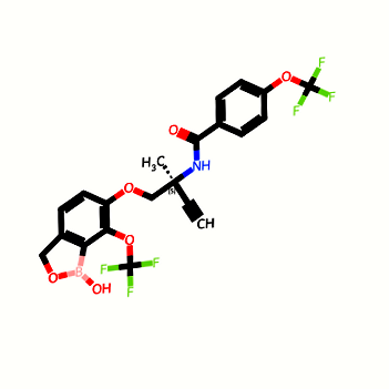 C#C[C@@](C)(COc1ccc2c(c1OC(F)(F)F)B(O)OC2)NC(=O)c1ccc(OC(F)(F)F)cc1